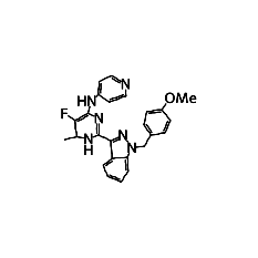 COc1ccc(Cn2nc(C3=NC(Nc4ccncc4)=C(F)C(C)N3)c3ccccc32)cc1